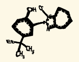 CCC(C)(C)c1ccc(O)c(-n2nc3ccccc3[n+]2[O-])c1